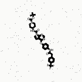 CC(C)(C)OC(=O)N1CCC(NC(=O)n2ccc3c(Oc4ccc(NC(=O)Cc5ccc(C(F)(F)F)cc5)cc4)ncnc32)CC1